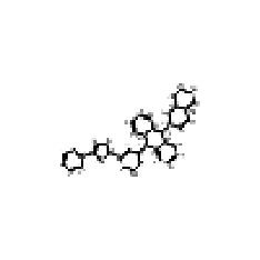 c1ccc(-c2ccc(-c3cccc(-c4c5ccccc5c(-c5ccc6ccccc6c5)c5ccccc45)c3)s2)cc1